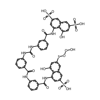 O=C(Nc1cccc(C(=O)Nc2cccc(C(=O)Nc3cc(S(=O)(=O)O)cc4cc(SOOO)cc(O)c34)c2)c1)Nc1cccc(C(=O)Nc2cc(S(=O)(=O)O)cc3cc(S(=O)(=O)O)cc(O)c23)c1